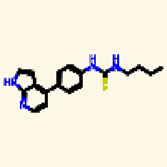 CCCCNC(=S)Nc1ccc(-c2ccnc3[nH]ccc23)cc1